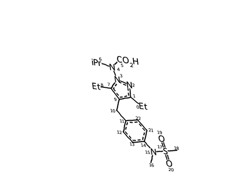 CCc1nn(N(C(=O)O)C(C)C)c(CC)c1Cc1ccc(N(C)S(C)(=O)=O)cc1